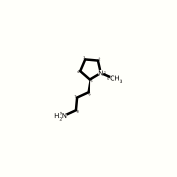 CN1CCC[C@@H]1CCCN